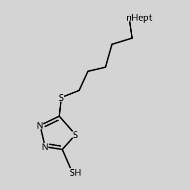 CCCCCCCCCCCCSc1nnc(S)s1